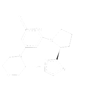 C[C@@H]1COCCN1c1cc(N2CCC[C@H]2c2nccs2)[nH]c(=O)c1